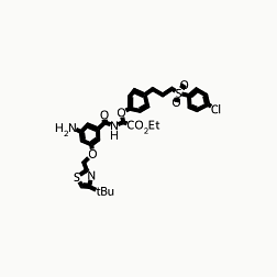 CCOC(=O)C(NC(=O)c1cc(N)cc(OCc2nc(C(C)(C)C)cs2)c1)Oc1ccc(CCCS(=O)(=O)c2ccc(Cl)cc2)cc1